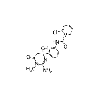 CN1C(=O)C[C@@](C)(c2cccc(NC(=O)N3CC=CC=C3Cl)c2)N=C1N